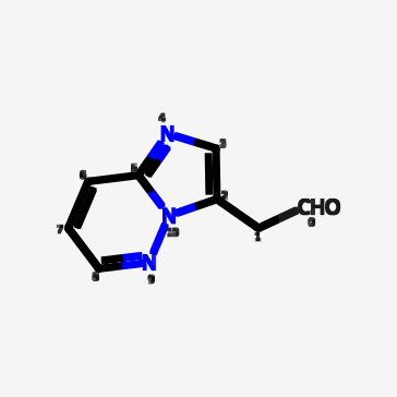 O=CCc1cnc2cccnn12